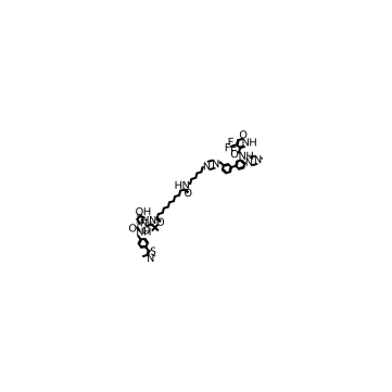 Cc1ncsc1-c1ccc(CNC(=O)[C@@H]2C[C@@H](O)CN2C(=O)[C@@H](NC(=O)CCCCCCCCCC(=O)NCCCCCCN2CCN(Cc3cccc(-c4ccc(N5CCN(C)CC5)c(NC(=O)c5c[nH]c(=O)cc5C(F)(F)F)c4)c3)CC2)C(C)(C)C)cc1